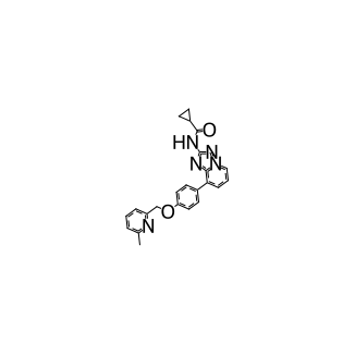 Cc1cccc(COc2ccc(-c3cccn4nc(NC(=O)C5CC5)nc34)cc2)n1